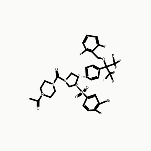 CC(=O)N1CCN(C(=O)N2C[C@H](c3ccc(C(OCc4c(F)cccc4F)(C(F)(F)F)C(F)(F)F)cc3)[C@@H](S(=O)(=O)c3ccc(F)c(Br)c3)C2)CC1